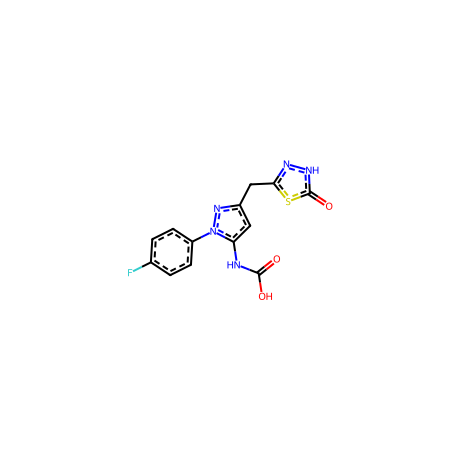 O=C(O)Nc1cc(Cc2n[nH]c(=O)s2)nn1-c1ccc(F)cc1